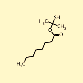 CCCCCCCC(=O)OC(C)(C)S